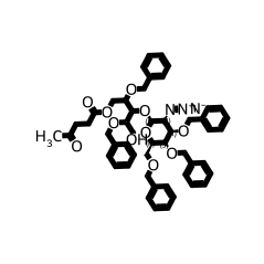 CC(=O)CCC(=O)OCC(OCc1ccccc1)C(O[C@@H]1O[C@H](COCc2ccccc2)[C@@H](OCc2ccccc2)[C@H](OCc2ccccc2)[C@H]1N=[N+]=[N-])C(CO)OCc1ccccc1